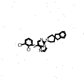 Clc1cccc(Sc2cnc(N3CCC4(CC3)Cc3ccccc3C4)n3ccnc23)c1Cl